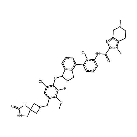 COc1c(CN2CC3(CNC(=O)O3)C2)cc(Cl)c(OC2CCc3c(-c4cccc(NC(=O)c5nc6c(n5C)CCN(C)C6)c4Cl)cccc32)c1F